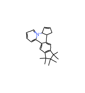 CC1(C)c2cc3c(cc2C(C)(C)C1(C)C)C1CC=CC1[n+]1ccccc1-3